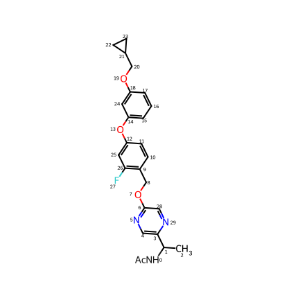 CC(=O)NC(C)c1cnc(OCc2ccc(Oc3cccc(OCC4CC4)c3)cc2F)cn1